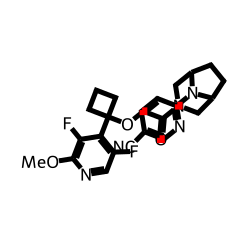 COc1ncc(F)c(C2(OCC(=O)N3CC4CCC(C3)N4c3ccc(C#N)cn3)CCC2)c1F